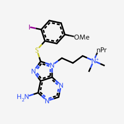 CCC[N+](C)(C)CCCn1c(Sc2cc(OC)ccc2I)nc2c(N)ncnc21